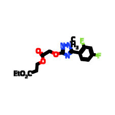 CCOC(=O)CCOC(=O)COc1nc(-c2ccc(F)cc2F)n(C)n1